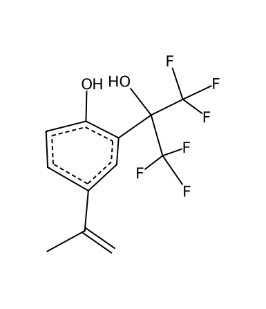 C=C(C)c1ccc(O)c(C(O)(C(F)(F)F)C(F)(F)F)c1